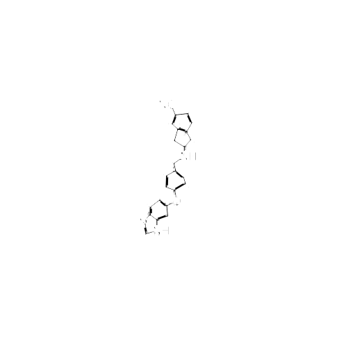 N#Cc1ccc2c(c1)CC(NCc1ccc(Oc3ccc4nc[nH]c4c3)cc1)C2